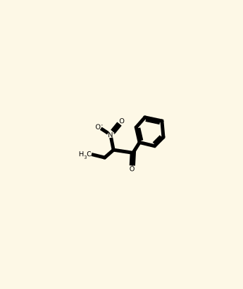 CCC(C(=O)c1ccccc1)[N+](=O)[O-]